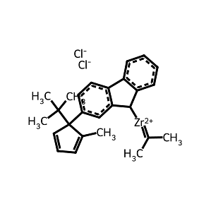 CC1=CC=CC1(c1ccc2c(c1)[CH]([Zr+2]=[C](C)C)c1ccccc1-2)C(C)(C)C.[Cl-].[Cl-]